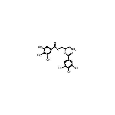 NCC(COC(=O)c1cc(O)c(O)c(O)c1)OC(=O)c1cc(O)c(O)c(O)c1